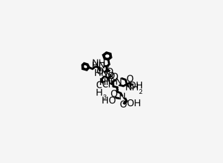 CC(C)CC(NC(=O)C(Cc1ccccc1)NC(=O)C(N)Cc1ccccc1)C(=O)NC(CCCCN(CC(=O)O)CC(=O)O)C(=O)N1CCC(N)(C(=O)O)CC1